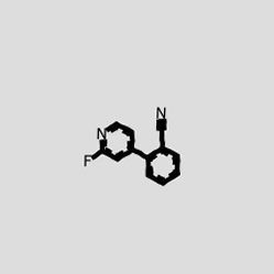 N#Cc1ccccc1-c1ccnc(F)c1